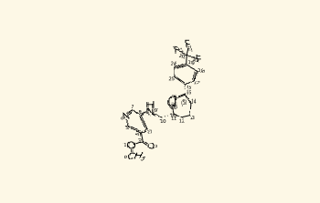 COC(=O)c1cncc(NC[C@H]2CCC[C@@H](c3ccc(C(F)(F)F)cc3)O2)c1